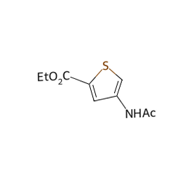 CCOC(=O)c1cc(NC(C)=O)cs1